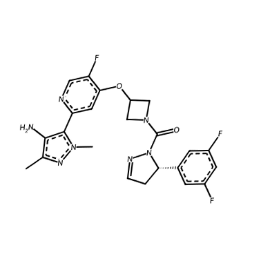 Cc1nn(C)c(-c2cc(OC3CN(C(=O)N4N=CC[C@H]4c4cc(F)cc(F)c4)C3)c(F)cn2)c1N